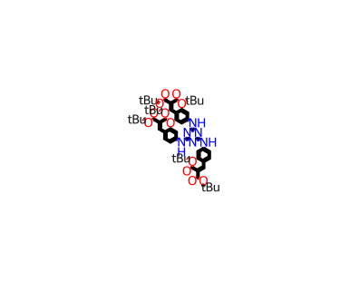 CC(C)(C)OC(=O)C(=Cc1ccc(Nc2nc(Nc3ccc(C=C(C(=O)OC(C)(C)C)C(=O)OC(C)(C)C)cc3)nc(Nc3ccc(C=C(C(=O)OC(C)(C)C)C(=O)OC(C)(C)C)cc3)n2)cc1)C(=O)OC(C)(C)C